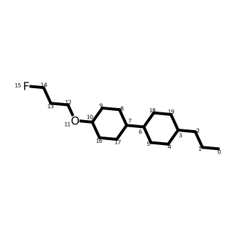 CCCC1CCC(C2CCC(OCCCF)CC2)CC1